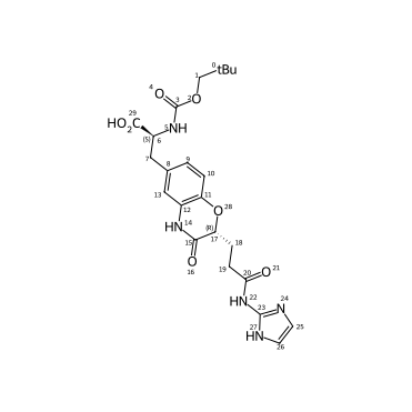 CC(C)(C)COC(=O)N[C@@H](Cc1ccc2c(c1)NC(=O)[C@@H](CCC(=O)Nc1ncc[nH]1)O2)C(=O)O